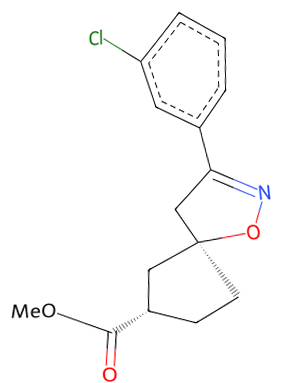 COC(=O)[C@H]1CC[C@@]2(CC(c3cccc(Cl)c3)=NO2)C1